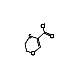 O=C(Cl)C1=COCCS1